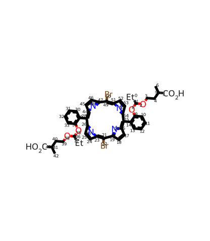 CCC(OCCC(C)C(=O)O)Oc1ccccc1C1=C2C=CC(=N2)C(Br)=C2C=CC(=N2)C(c2ccccc2OC(CC)OCCC(C)C(=O)O)=C2C=CC(=N2)C(Br)=C2C=CC1=N2